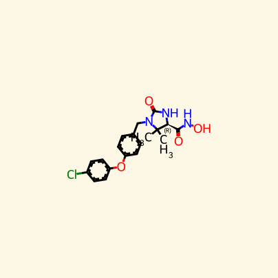 CC1(C)[C@H](C(=O)NO)NC(=O)N1Cc1ccc(Oc2ccc(Cl)cc2)cc1